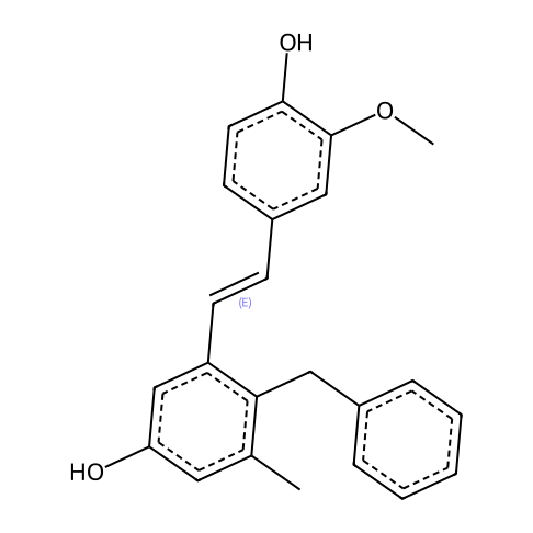 COc1cc(/C=C/c2cc(O)cc(C)c2Cc2ccccc2)ccc1O